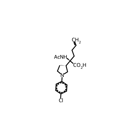 C=CCC[C@](NC(C)=O)(C(=O)O)[C@H]1CCN(c2ccc(Cl)cc2)C1